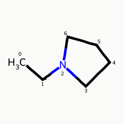 C[CH]N1CCCC1